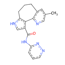 Cc1cnc2c(c1)CCCc1[nH]cc(C(=O)Nc3cccnn3)c1-2